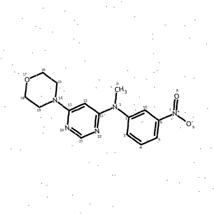 CN(c1cccc([N+](=O)[O-])c1)c1cc(N2CCOCC2)ncn1